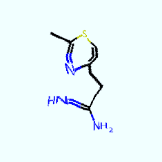 Cc1nc(CC(=N)N)cs1